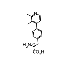 Cc1nccc(-c2ccc(C[C@H](N)C(=O)O)cc2)c1C